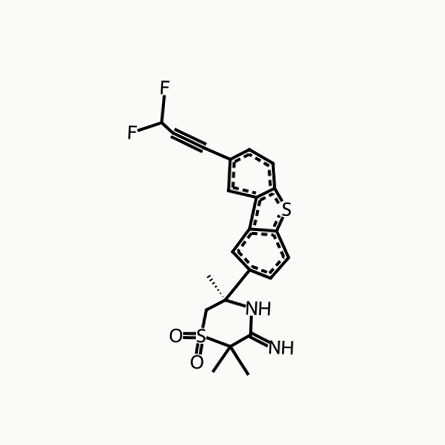 CC1(C)C(=N)N[C@](C)(c2ccc3sc4ccc(C#CC(F)F)cc4c3c2)CS1(=O)=O